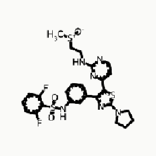 C[S+]([O-])CCNc1nccc(-c2sc(N3CCCC3)nc2-c2cccc(NS(=O)(=O)c3c(F)cccc3F)c2)n1